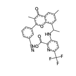 Cc1cc(C(C)Nc2ccc(C(F)(F)F)nc2C(=O)O)c2oc(-c3cccc(C#N)c3)c(C)c(=O)c2c1